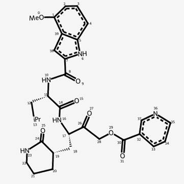 COc1cccc2[nH]c(C(=O)N[C@@H](CC(C)C)C(=O)N[C@@H](C[C@@H]3CCCNC3=O)C(=O)COC(=O)c3cccnc3)cc12